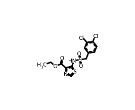 CCOC(=O)c1ncsc1NS(=O)(=O)Cc1ccc(Cl)c(Cl)c1